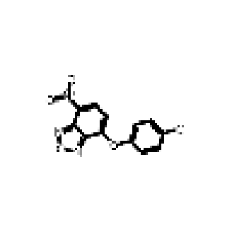 O=[N+]([O-])c1ccc(Oc2ccc(Cl)cc2)c2nonc12